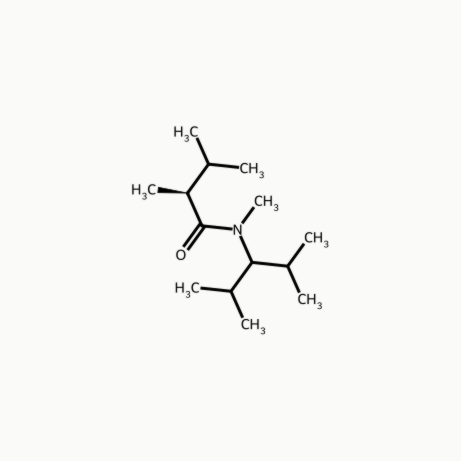 CC(C)C(C(C)C)N(C)C(=O)[C@@H](C)C(C)C